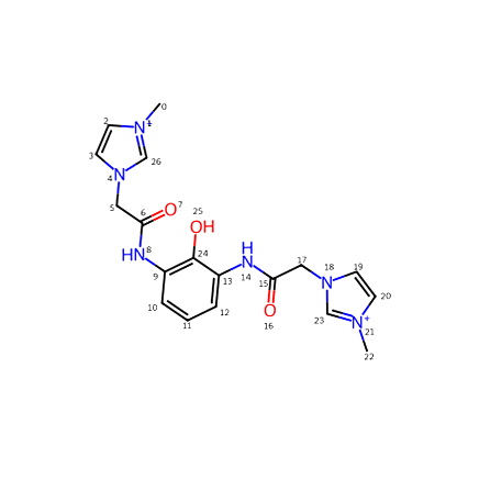 C[n+]1ccn(CC(=O)Nc2cccc(NC(=O)Cn3cc[n+](C)c3)c2O)c1